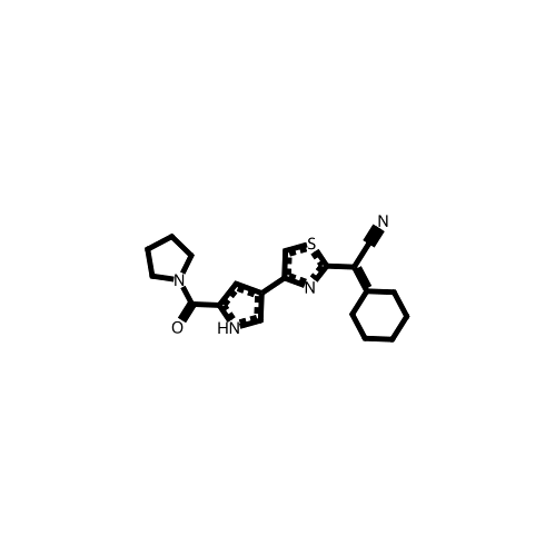 N#CC(=C1CCCCC1)c1nc(-c2c[nH]c(C(=O)N3CCCC3)c2)cs1